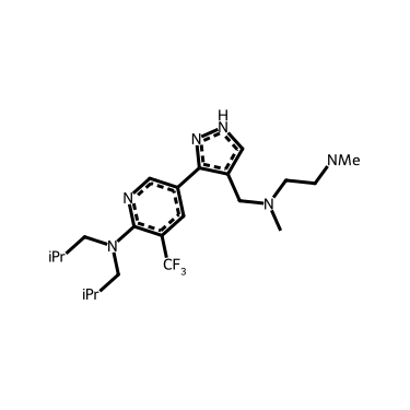 CNCCN(C)Cc1c[nH]nc1-c1cnc(N(CC(C)C)CC(C)C)c(C(F)(F)F)c1